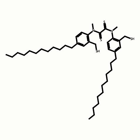 CCCCCCCCCCCCc1ccc(N(C)C(=S)C(=S)N(C)c2ccc(CCCCCCCCCCCC)cc2CS)c(CS)c1